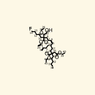 C=CCC[C@@H](/C=C\CCC(CCCCCF)(C(=O)OC=C)C(CO)OCC)CCC(CCCCI)(CC(=O)OCC)C(=O)OCC